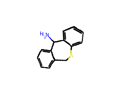 NC1c2ccccc2CSc2ccccc21